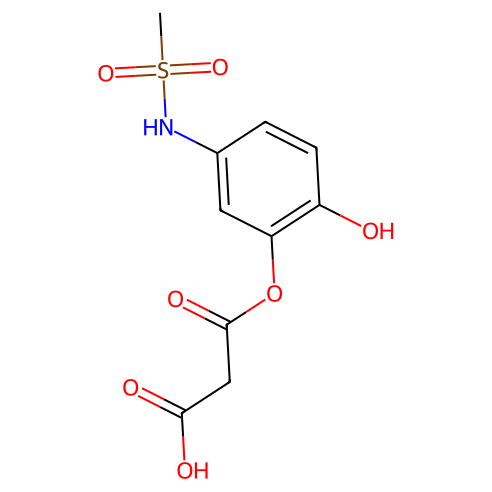 CS(=O)(=O)Nc1ccc(O)c(OC(=O)CC(=O)O)c1